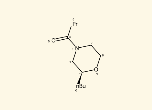 CCCC[C@H]1CN(C(=O)C(C)C)CCO1